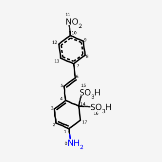 NC1=CC=C(C=Cc2ccc([N+](=O)[O-])cc2)C(S(=O)(=O)O)(S(=O)(=O)O)C1